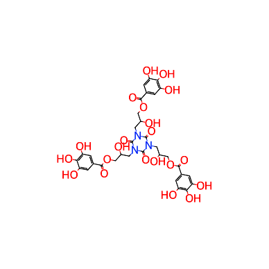 O=C(OCC(O)Cn1c(=O)n(CC(O)COC(=O)c2cc(O)c(O)c(O)c2)c(=O)n(CC(O)COC(=O)c2cc(O)c(O)c(O)c2)c1=O)c1cc(O)c(O)c(O)c1